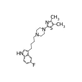 Cc1nc(N2CCN(CCCCc3c[nH]c4ccc(F)cc34)CC2)sc1C